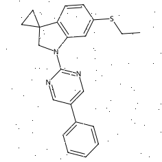 CCSc1ccc2c(c1)N(c1ncc(-c3ccccc3)cn1)CC21CC1